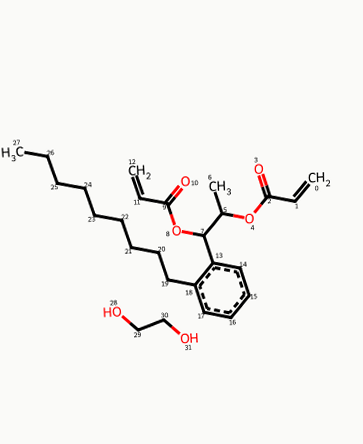 C=CC(=O)OC(C)C(OC(=O)C=C)c1ccccc1CCCCCCCCC.OCCO